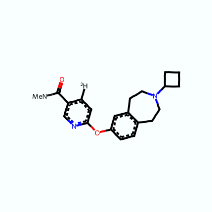 [2H]c1cc(Oc2ccc3c(c2)CCN(C2CCC2)CC3)ncc1C(=O)NC